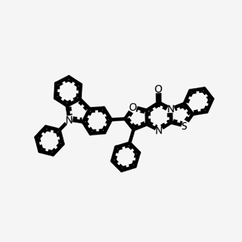 O=c1c2oc(-c3ccc4c(c3)c3ccccc3n4-c3ccccc3)c(-c3ccccc3)c2nc2sc3ccccc3n12